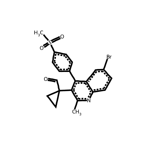 Cc1nc2ccc(Br)cc2c(-c2ccc(S(C)(=O)=O)cc2)c1C1(C=O)CC1